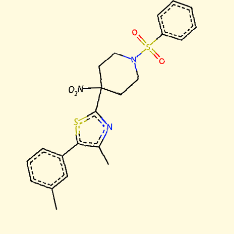 Cc1cccc(-c2sc(C3([N+](=O)[O-])CCN(S(=O)(=O)c4ccccc4)CC3)nc2C)c1